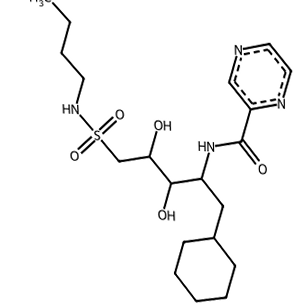 CCCCNS(=O)(=O)CC(O)C(O)C(CC1CCCCC1)NC(=O)c1cnccn1